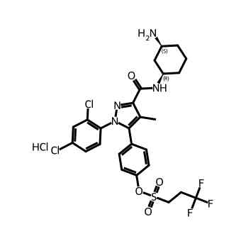 Cc1c(C(=O)N[C@@H]2CCC[C@H](N)C2)nn(-c2ccc(Cl)cc2Cl)c1-c1ccc(OS(=O)(=O)CCC(F)(F)F)cc1.Cl